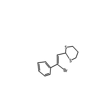 Br/C(=C\C1SCCCS1)c1ccccc1